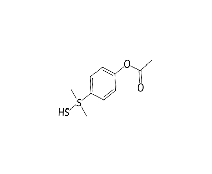 CC(=O)Oc1ccc(S(C)(C)S)cc1